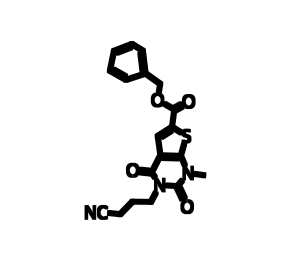 Cn1c(=O)n(CCCC#N)c(=O)c2cc(C(=O)OCc3ccccc3)sc21